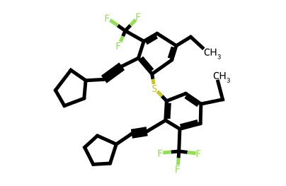 CCc1cc(Sc2cc(CC)cc(C(F)(F)F)c2C#CC2CCCC2)c(C#CC2CCCC2)c(C(F)(F)F)c1